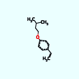 C=Cc1ccc(OCCC(C)C)cc1